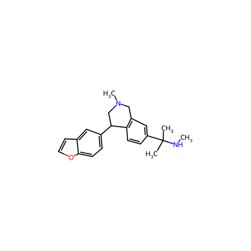 CNC(C)(C)c1ccc2c(c1)CN(C)CC2c1ccc2occc2c1